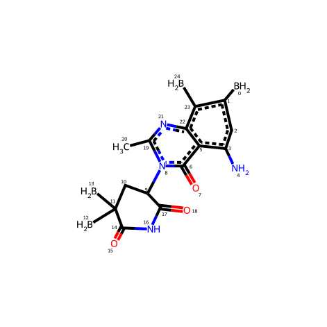 Bc1cc(N)c2c(=O)n(C3CC(B)(B)C(=O)NC3=O)c(C)nc2c1B